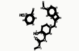 COC(=O)OC1=C(O)CCN(CC2=Cc3ccc(OC)cc32)C1.Cc1ccccc1.Cl